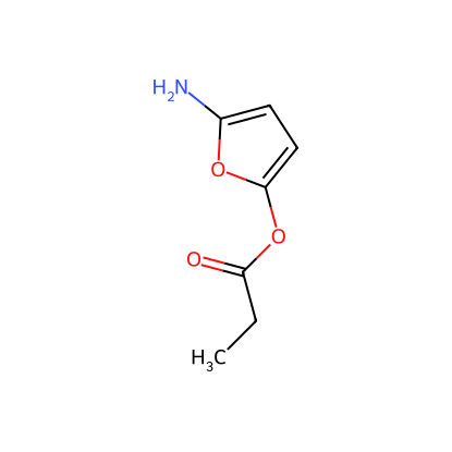 CCC(=O)Oc1ccc(N)o1